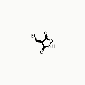 C[CH]/C=C1/C(=O)NOC1=O